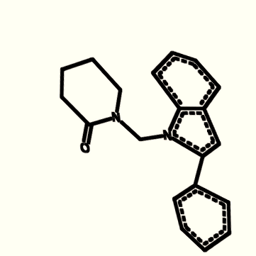 O=C1CCCCN1Cn1c(-c2ccccc2)cc2ccccc21